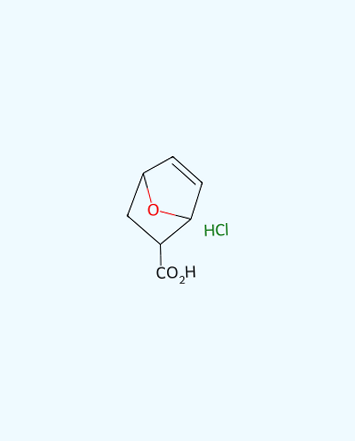 Cl.O=C(O)C1CC2C=CC1O2